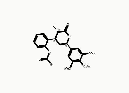 CCC(=O)Oc1ccccc1[C@@H]1C[C@H](c2cc(OC)c(OC)c(OC)c2)OC(=O)[C@H]1C